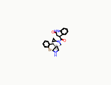 O=C1CC(C(=O)N(C[C@@H]2CNC[C@H]2Cc2ccccc2Br)C2CC2)c2ccccc2N1